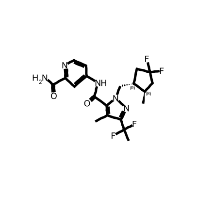 Cc1c(C(C)(F)F)nn(C[C@@H]2CC(F)(F)C[C@H]2C)c1C(=O)Nc1ccnc(C(N)=O)c1